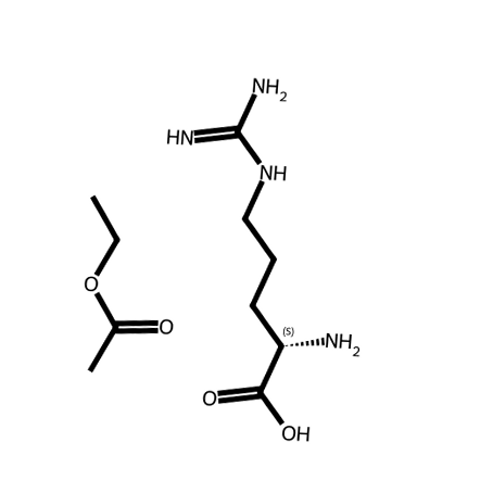 CCOC(C)=O.N=C(N)NCCC[C@H](N)C(=O)O